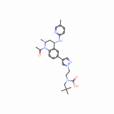 CC(=O)N1c2ccc(-c3cnn(CCN(CC(C)(C)C)C(=O)O)c3)cc2[C@H](Nc2ccc(C)cn2)C[C@@H]1C